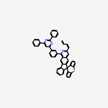 C=C/C=C\c1cc2cc3c(cc2c(-c2cccc(-c4cc(-c5ccccc5)nc(-c5ccccc5)n4)c2)n1)-c1ccccc1C31c2ccccc2Sc2ccccc21